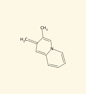 C=C1C=C2C=CC=CN2C=C1C